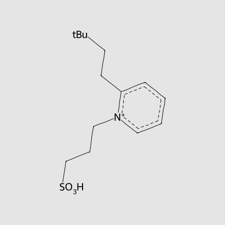 CC(C)(C)CCc1cccc[n+]1CCCS(=O)(=O)O